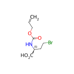 C=CCOC(=O)N[C@@H](CCBr)C(=O)O